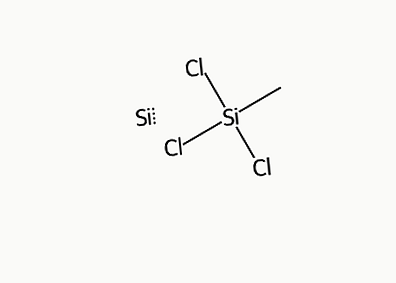 C[Si](Cl)(Cl)Cl.[Si]